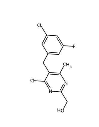 Cc1nc(CO)nc(Cl)c1Cc1cc(F)cc(Cl)c1